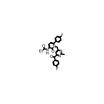 CCC(=O)Nc1ccc(-c2ccc(F)cc2)n(Cc2cc(C(=O)c3ccc(F)cc3)nc(C)n2)c1=O